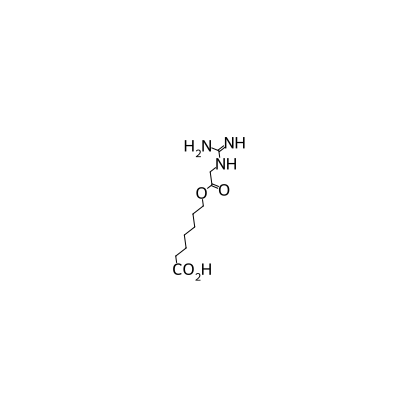 N=C(N)NCC(=O)OCCCCCCC(=O)O